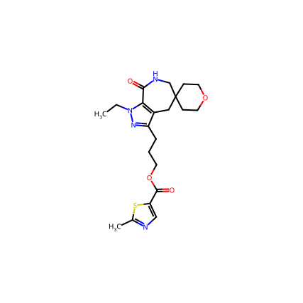 CCn1nc(CCCOC(=O)c2cnc(C)s2)c2c1C(=O)NCC1(CCOCC1)C2